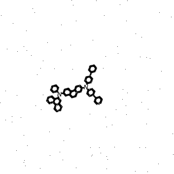 c1ccc(-c2ccc(N(c3ccc(-c4ccccc4)cc3)c3ccc4c(ccc5cc(N(c6ccccc6)c6cc7ccccc7c7ccccc67)ccc54)c3)cc2)cc1